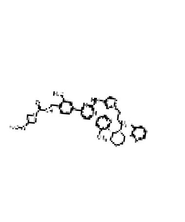 Cc1cc(-c2ccnc(Nc3cnn(CCCN4[C@@H](c5ncccc5C)CCC[C@H]4c4ncccc4C)c3)n2)ccc1CNC(=O)N1CC(OC(F)(F)F)C1